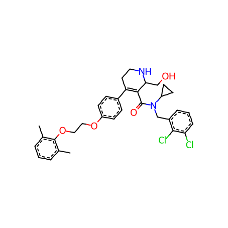 Cc1cccc(C)c1OCCOc1ccc(C2=C(C(=O)N(Cc3cccc(Cl)c3Cl)C3CC3)C(CO)NCC2)cc1